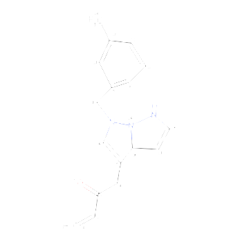 C=CC(=O)CC1=CN(Cc2cccc(C(F)(F)F)c2)N2NC=CC12